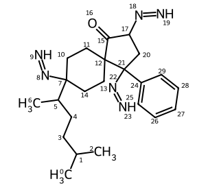 CC(C)CCC(C)C1(N=N)CCC2(CC1)C(=O)C(N=N)CC2(N=N)c1ccccc1